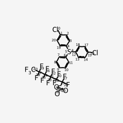 Clc1ccc([S+](c2ccccc2)c2ccc(Cl)cc2)cc1.O=S(=O)([O-])C(F)(F)C(F)(F)C(F)(F)C(F)(F)C(F)(F)C(F)(F)F